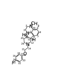 CN1CCN2c3c(cccc31)[C@@H]1CN(CCOc3ccc(F)cc3)CC[C@@H]12